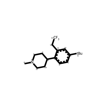 CN1CCC(c2ccc(C(C)(C)C)cc2CC(F)(F)F)CC1